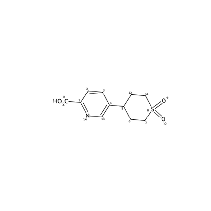 O=C(O)c1ccc(C2CCS(=O)(=O)CC2)cn1